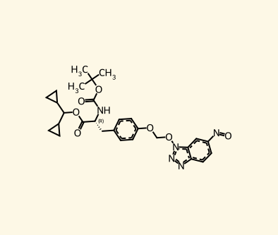 CC(C)(C)OC(=O)N[C@H](Cc1ccc(OCOn2nnc3ccc(N=O)cc32)cc1)C(=O)OC(C1CC1)C1CC1